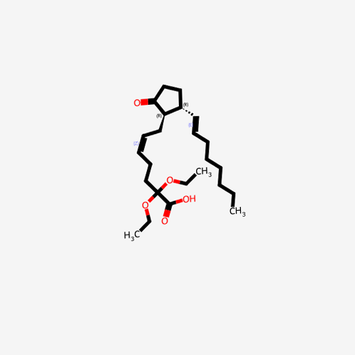 CCCCCC/C=C/[C@H]1CCC(=O)[C@@H]1C/C=C\CCC(OCC)(OCC)C(=O)O